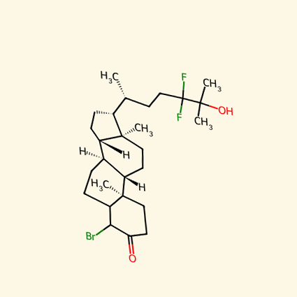 C[C@H](CCC(F)(F)C(C)(C)O)[C@H]1CC[C@H]2[C@@H]3CCC4C(Br)C(=O)CC[C@]4(C)[C@H]3CC[C@]12C